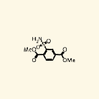 COC(=O)c1ccc(C(=O)OC)c(S(N)(=O)=O)c1